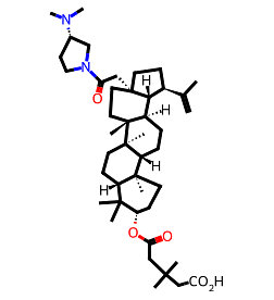 C=C(C)[C@@H]1CC[C@]2(CC(=O)N3CC[C@H](N(C)C)C3)CC[C@]3(C)[C@H](CC[C@@H]4[C@@]5(C)CC[C@H](OC(=O)CC(C)(C)CC(=O)O)C(C)(C)[C@@H]5CC[C@]43C)[C@@H]12